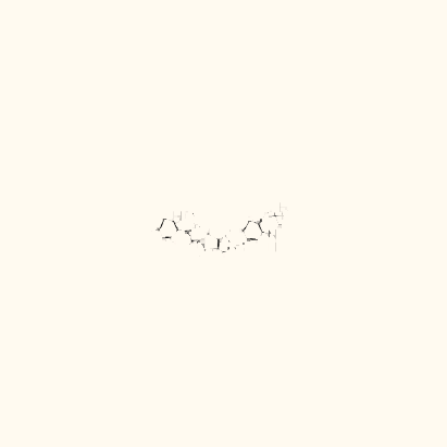 CC1(C)CNc2cc(SN3CC4=C(C3)CN(C(=O)[C@H](CO)c3ccccc3)C4)ccc2O1